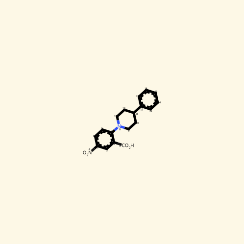 O=C(O)c1cc([N+](=O)[O-])ccc1N1CCC(c2ccccc2)CC1